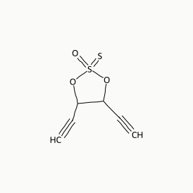 C#CC1OS(=O)(=S)OC1C#C